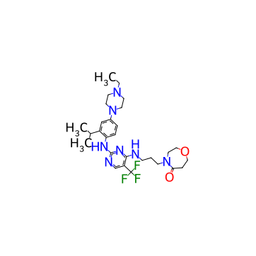 CCN1CCN(c2ccc(Nc3ncc(C(F)(F)F)c(NCCCN4CCOCCC4=O)n3)c(C(C)C)c2)CC1